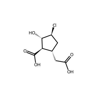 O=C(O)C[C@H]1C[C@H](Cl)[C@@H](O)[C@@H]1C(=O)O